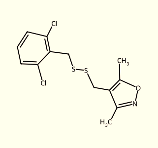 Cc1noc(C)c1CSSCc1c(Cl)cccc1Cl